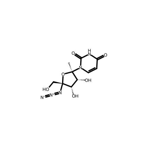 C[C@@]1(n2ccc(=O)[nH]c2=O)O[C@@](CO)(N=[N+]=[N-])[C@@H](O)[C@H]1O